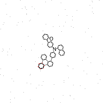 c1ccc(-c2ccccc2-c2c(-c3ccccc3)cccc2-c2ccc(N(c3ccc4c(c3)oc3ccccc34)c3cccc4ccccc34)cc2)cc1